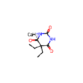 CCC1(CC)C(=O)NC(=O)NC1=O.[CaH2]